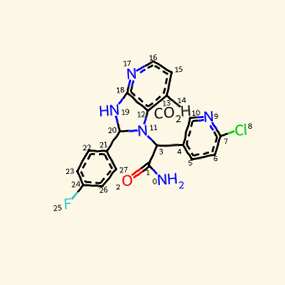 NC(=O)C(c1ccc(Cl)nc1)N1c2c(C(=O)O)ccnc2NC1c1ccc(F)cc1